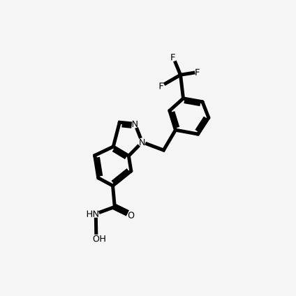 O=C(NO)c1ccc2cnn(Cc3cccc(C(F)(F)F)c3)c2c1